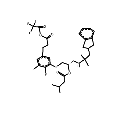 CC(C)CC(=O)O[C@@H](CNC(C)(C)CC1Cc2ccccc2C1)COc1cc(CCC(=O)OC(=O)C(F)(F)F)cc(F)c1F